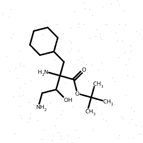 CC(C)(C)OC(=O)C(N)(CC1CCCCC1)C(O)CN